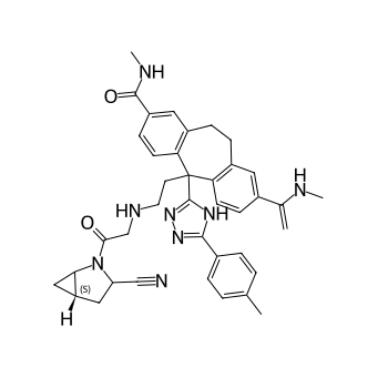 C=C(NC)c1ccc2c(c1)CCc1cc(C(=O)NC)ccc1C2(CCNCC(=O)N1C(C#N)C[C@@H]2CC21)c1nnc(-c2ccc(C)cc2)[nH]1